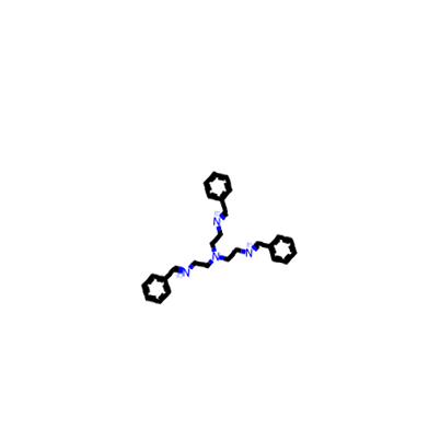 C(=N\CCN(CC/N=C/c1ccccc1)CC/N=C/c1ccccc1)/c1ccccc1